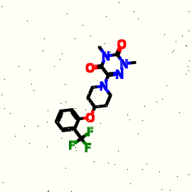 Cn1nc(N2CCC(Oc3ccccc3C(F)(F)F)CC2)c(=O)n(C)c1=O